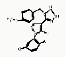 COc1ccc(CN2NNN=C2c2cnn(-c3cc(Cl)ccc3Cl)c2Br)cc1